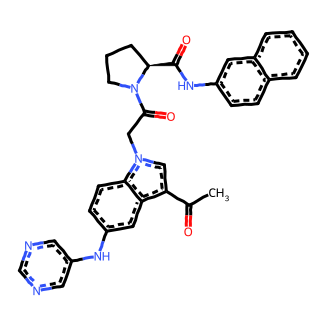 CC(=O)c1cn(CC(=O)N2CCC[C@H]2C(=O)Nc2ccc3ccccc3c2)c2ccc(Nc3cncnc3)cc12